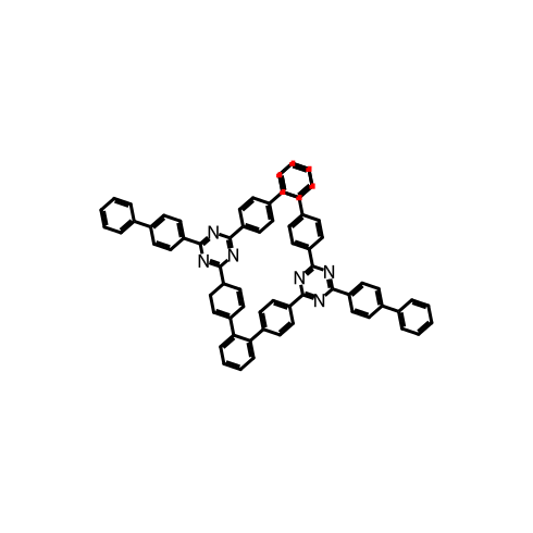 C1=CC(c2nc(-c3ccc(-c4ccccc4)cc3)nc(-c3ccc(-c4ccccc4)cc3)n2)CC=C1c1ccccc1-c1ccc(-c2nc(-c3ccc(-c4ccccc4)cc3)nc(-c3ccc(-c4ccccc4)cc3)n2)cc1